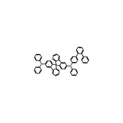 c1ccc(-c2ccccc2-c2ccc(N(c3ccccc3)c3ccc4c(c3)-c3ccccc3C43c4ccccc4-c4cc(N(c5ccccc5)c5ccccc5)ccc43)cc2)cc1